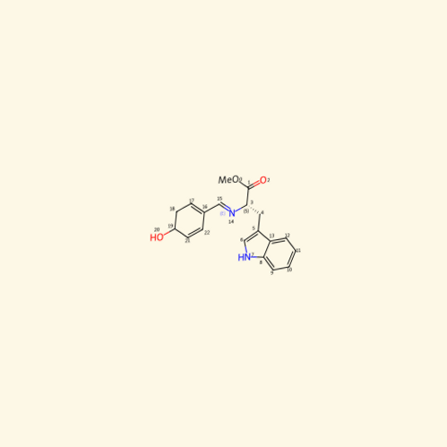 COC(=O)[C@H](Cc1c[nH]c2ccccc12)/N=C/C1=CCC(O)C=C1